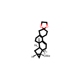 CO[C@@]12C[C@@H]1C[C@H]1[C@@H]3CCC4=C(CCC5(C4)OCCO5)C3=CC[C@@]12C